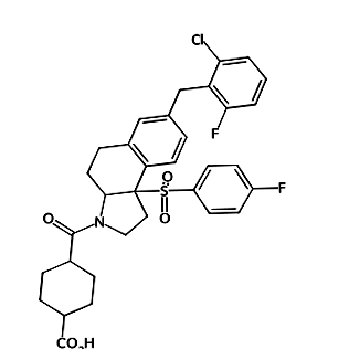 O=C(O)C1CCC(C(=O)N2CCC3(S(=O)(=O)c4ccc(F)cc4)c4ccc(Cc5c(F)cccc5Cl)cc4CCC23)CC1